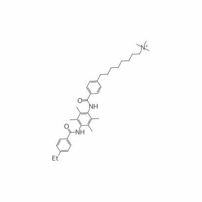 CCc1ccc(C(=O)Nc2c(C)c(C)c(NC(=O)c3ccc(CCCCCCCC[N+](C)(C)C)cc3)c(C)c2C)cc1